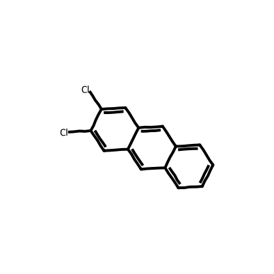 Clc1cc2cc3ccccc3cc2cc1Cl